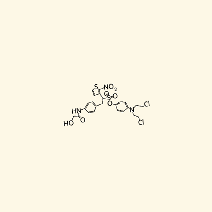 O=C(CO)Nc1ccc(CC(c2ccsc2[N+](=O)[O-])S(=O)(=O)Oc2ccc(N(CCCl)CCCl)cc2)cc1